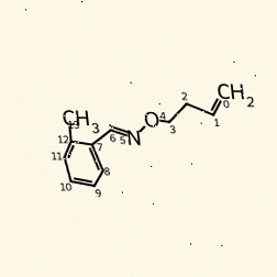 C=CCCON=[C]c1ccccc1C